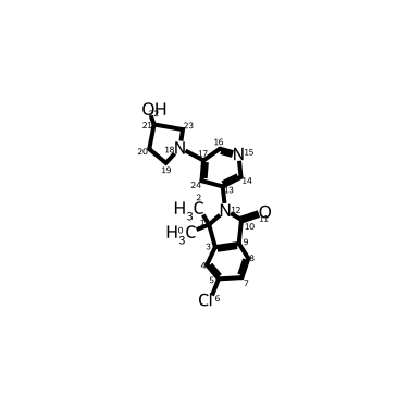 CC1(C)c2cc(Cl)ccc2C(=O)N1c1cncc(N2CCC(O)C2)c1